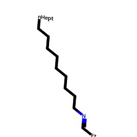 CCC=NCCCCCCCCCCCCCCCC